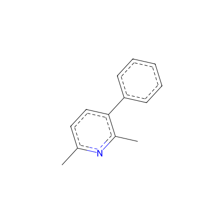 Cc1ccc(-c2ccccc2)c(C)n1